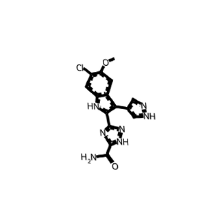 COc1cc2c(-c3cn[nH]c3)c(-c3n[nH]c(C(N)=O)n3)[nH]c2cc1Cl